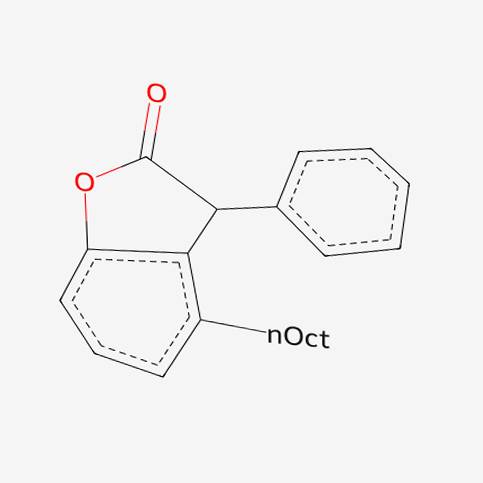 CCCCCCCCc1cccc2c1C(c1ccccc1)C(=O)O2